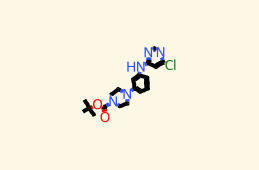 CC(C)(C)OC(=O)N1CCN(c2cccc(Nc3cc(Cl)ncn3)c2)CC1